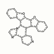 c1ccc2c(c1)oc1c3oc4ccccc4c3c3c(c4cnccc4c4nccn43)c21